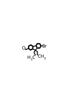 CCCC1(CCC)c2cc(Br)ccc2-c2ccc(C=O)cc21